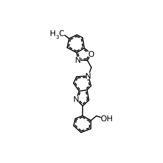 Cc1ccc2oc(Cn3ccc4nc(-c5ccccc5CO)cc-4c3)nc2c1